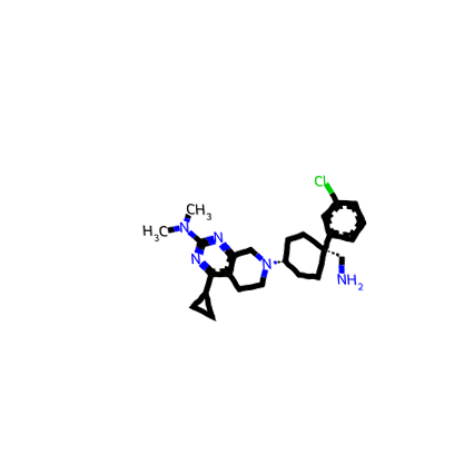 CN(C)c1nc2c(c(C3CC3)n1)CCN([C@H]1CC[C@](CN)(c3cccc(Cl)c3)CC1)C2